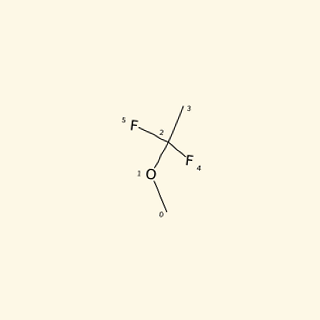 COC(C)(F)F